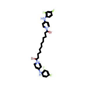 Fc1ccc(Nc2cc[n+](C(Br)CCCCCCCCCCC(Br)[n+]3ccc(Nc4ccc(F)cc4F)cc3)cc2)c(F)c1